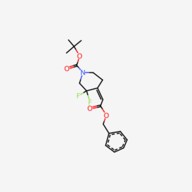 CC(C)(C)OC(=O)N1CCC(=CC(=O)OCc2ccccc2)C(F)(F)C1